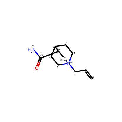 C=CC[N+]12CCC(CC1)C(C(N)=O)C2